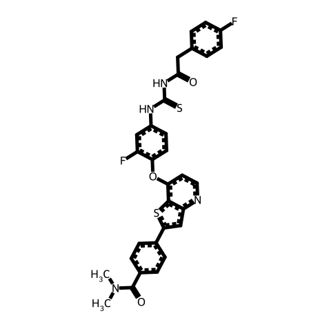 CN(C)C(=O)c1ccc(-c2cc3nccc(Oc4ccc(NC(=S)NC(=O)Cc5ccc(F)cc5)cc4F)c3s2)cc1